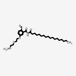 CCCCCCCCCCCCCCCCCC(=O)NC(=O)c1cc(OCCOCCOC)ccc1I=O